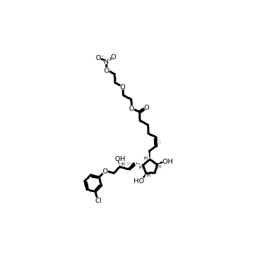 O=C(CCC/C=C\C[C@@H]1[C@@H](/C=C/[C@@H](O)COc2cccc(Cl)c2)[C@H](O)C[C@@H]1O)OCCOCCO[N+](=O)[O-]